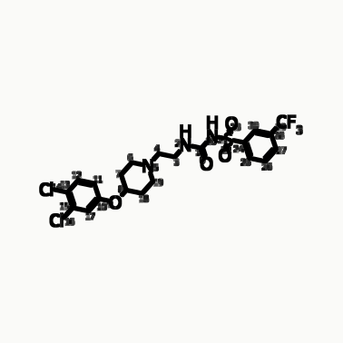 O=C(NCCN1CCC(Oc2ccc(Cl)c(Cl)c2)CC1)NS(=O)(=O)c1cccc(C(F)(F)F)c1